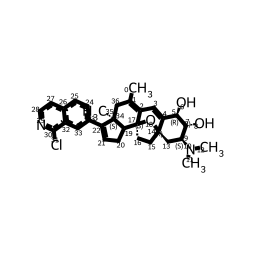 CC1=C2C=C3[C@@H](O)[C@H](O)[C@@H](N(C)C)C[C@]34CC[C@]2(O4)C2CC=C(c3ccc4ccnc(Cl)c4c3)[C@@]2(C)C1